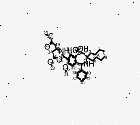 CCCCC1(CCCC)CS(O)(O)c2cc(CNC(CC(=O)OC)CC(=O)OC)c(OC)cc2C(c2ccccc2)N1